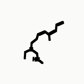 C=C/C=C(C)\C=C/CCN(CC)CNC